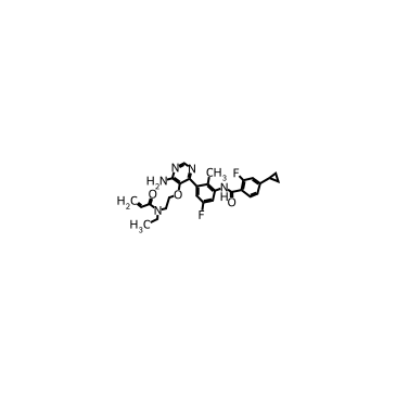 C=CC(=O)N(CC)CCOc1c(N)ncnc1-c1cc(F)cc(NC(=O)c2ccc(C3CC3)cc2F)c1C